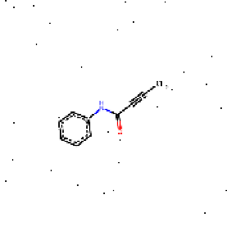 CC#CC(=O)Nc1ccccc1